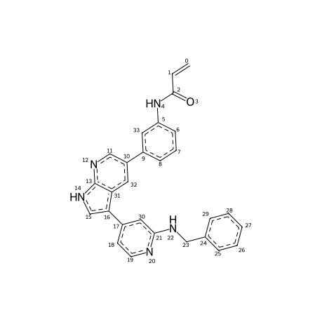 C=CC(=O)Nc1cccc(-c2cnc3[nH]cc(-c4ccnc(NCc5ccccc5)c4)c3c2)c1